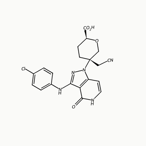 N#CC[C@@]1(n2nc(Nc3ccc(Cl)cc3)c3c(=O)[nH]ccc32)CC[C@@H](C(=O)O)OC1